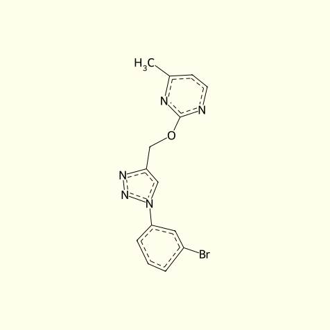 Cc1ccnc(OCc2cn(-c3cccc(Br)c3)nn2)n1